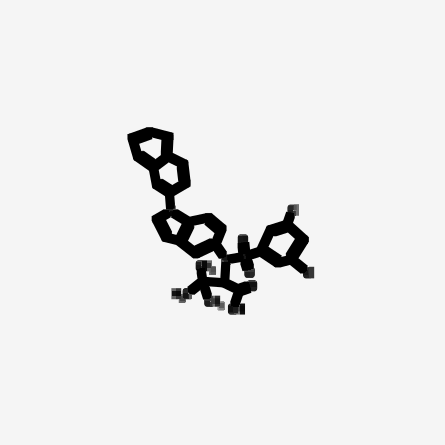 CC(C)(C)C(C(=O)O)N(c1ccc2c(ccn2-c2ccc3ccccc3c2)c1)S(=O)(=O)c1cc(Cl)cc(Cl)c1